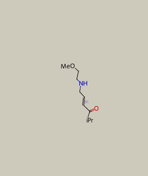 COCCNC/C=C/C(=O)C(C)C